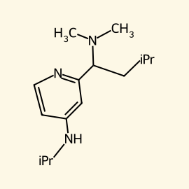 CC(C)CC(c1cc(NC(C)C)ccn1)N(C)C